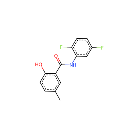 Cc1ccc(O)c(C(=O)Nc2cc(F)ccc2F)c1